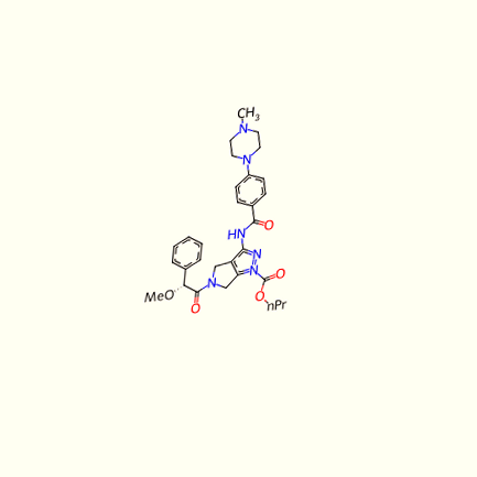 CCCOC(=O)n1nc(NC(=O)c2ccc(N3CCN(C)CC3)cc2)c2c1CN(C(=O)[C@H](OC)c1ccccc1)C2